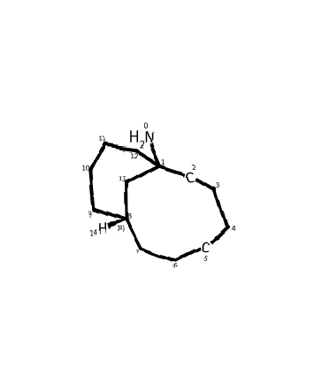 NC12CCCCCC[C@H](CCCC1)C2